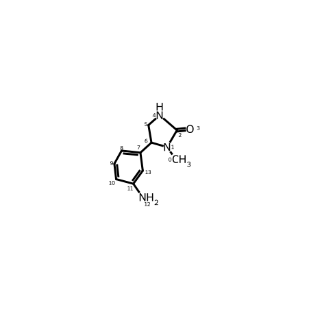 CN1C(=O)NCC1c1cccc(N)c1